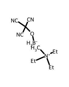 CC[N+](C)(CC)CC.[BH3-]OC(C#N)(C#N)C#N